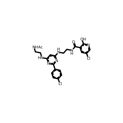 CC(=O)NCCNc1cc(NCCNC(=O)c2cc(Cl)cnc2O)nc(-c2ccc(Cl)cc2)n1